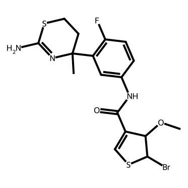 COC1C(C(=O)Nc2ccc(F)c(C3(C)CCSC(N)=N3)c2)=CSC1Br